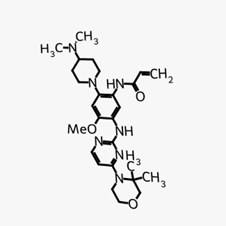 C=CC(=O)Nc1cc(Nc2nccc(N3CCOCC3(C)C)n2)c(OC)cc1N1CCC(N(C)C)CC1